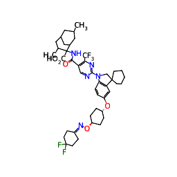 CC1CC2CC(C)C(NC(=O)c3cnc(N4CC5(CCCCC5)c5cc(O[C@H]6CC[C@H](ON=C7CCC(F)(F)CC7)CC6)ccc54)nc3C(F)(F)F)(C(=O)O)C(C1)C2